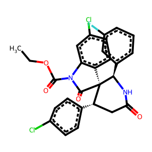 CCOC(=O)N1C(=O)[C@]2(c3ccc(Cl)cc31)[C@@H](c1ccc(Cl)cc1)CC(=O)N[C@@H]2c1cccc(F)c1